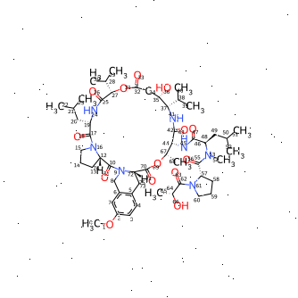 COc1ccc2c(c1)CN1C(=O)[C@@H]3CCCN3C(=O)[C@H](CC(C)C)NC(=O)[C@H](C(C)C)OC(=O)C[C@H](O)[C@H](C(C)C)NC(=O)[C@H](NC(=O)[C@@H](CC(C)C)N(C)C(=O)[C@@H]3CCCN3C(=O)[C@@H](C)O)[C@H](C)OC(=O)[C@@H]1C2